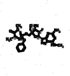 CNc1nc(N)nc2c1ncn2[C@@H]1O[C@](CCl)(COP(=S)(N[C@H](C)C(=O)OC)Oc2ccccc2)[C@@H](O)[C@@H]1F